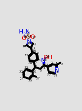 Cc1cc(C(CC(c2ccc(C3CN(S(N)(=O)=O)C3)cc2)c2ccccc2C)=NO)ccn1